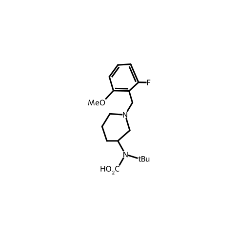 COc1cccc(F)c1CN1CCCC(N(C(=O)O)C(C)(C)C)C1